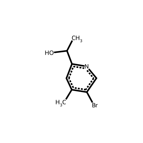 Cc1cc(C(C)O)ncc1Br